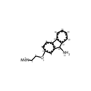 CNCCOc1ccc2c(c1)C(N)c1ccccc1-2